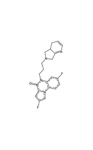 O=c1c2cc(F)cn2c2ccc(F)cc2n1CCCN1CC2=NC=CCC2C1